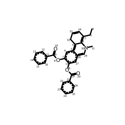 CCC1=C2C(=c3cc(OC(=O)c4ccccc4)c(OC(=O)c4ccccc4)cc3=CN2C)CC=C1